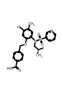 Cc1cc(N(C[C@H](C)F)S(=O)(=O)c2cccnc2)c(OCc2ccc(C(=O)O)cc2)cc1Cl